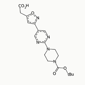 CC(C)(C)OC(=O)N1CCN(c2ncc(-c3cc(CC(=O)O)on3)cn2)CC1